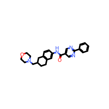 O=C(Nc1ccc2c(c1)CCC(CN1CCOCC1)C2)c1cnc(-c2ccccc2)nc1